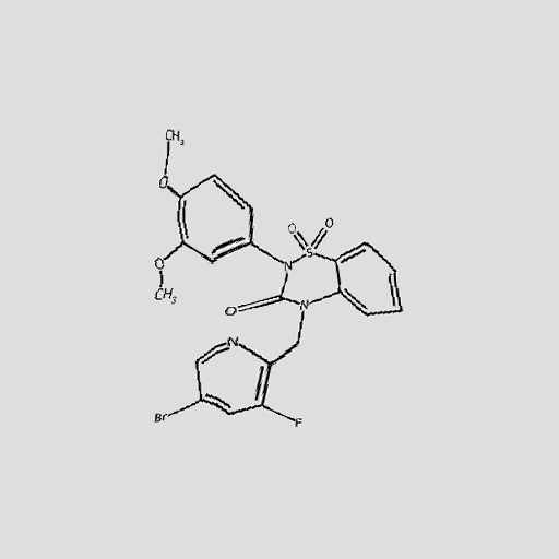 COc1ccc(N2C(=O)N(Cc3ncc(Br)cc3F)c3ccccc3S2(=O)=O)cc1OC